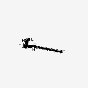 [N-]=[N+]=NCCOCCOCCOCCOCCOCCOCCOCCOCCC(=O)NCc1ccc(Cn2nc(-c3ccc4[nH]c(N)nc4c3)c3c(N)ncnc32)cc1